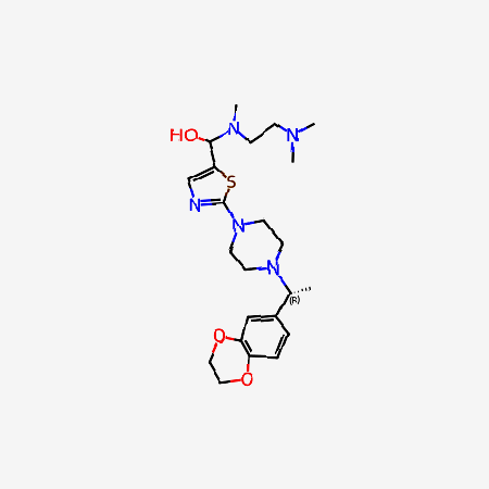 C[C@H](c1ccc2c(c1)OCCO2)N1CCN(c2ncc(C(O)N(C)CCN(C)C)s2)CC1